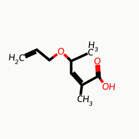 C=CCOC(C)C=C(C)C(=O)O